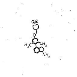 Cc1cc(OCC2CCS(=O)(=O)CC2)cc(C)c1-c1cccc2c1CC[C@H]2N